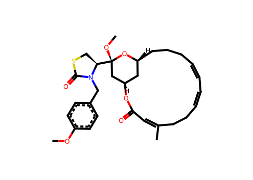 COc1ccc(CN2C(=O)SC[C@H]2[C@@]2(OC)C[C@H]3C[C@@H](CCCC=CC=CCCC(C)=CC(=O)O3)O2)cc1